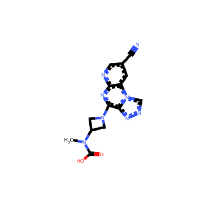 CN(C(=O)O)C1CN(c2nc3ncc(C#N)cc3n3cnnc23)C1